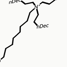 CCCCCCCCCCCC[N+](CCCCCCCCO)(CCCCCCCCCCCC)CCCCCCCCCCCC